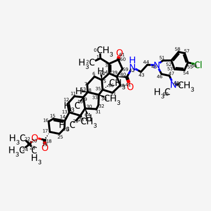 CC(C)C1=C2[C@H]3CC[C@H]4[C@@]5(C)CC=C(C6=CC[C@@H](C(=O)OC(C)(C)C)CC6)C(C)(C)[C@H]5CC[C@@]4(C)[C@]3(C)CC[C@@]2(C(=O)NCCN(CCN(C)C)Cc2ccc(Cl)cc2)CC1=O